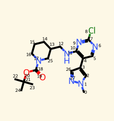 Cn1cc(-c2cnc(Cl)nc2NCC2CCCN(C(=O)OC(C)(C)C)C2)cn1